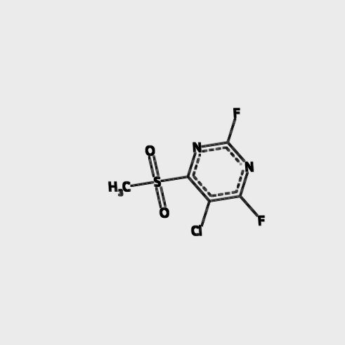 CS(=O)(=O)c1nc(F)nc(F)c1Cl